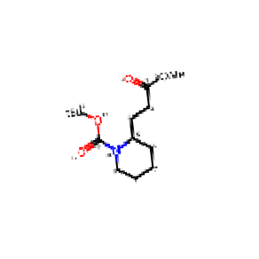 COC(=O)CCC1CCCCN1C(=O)OC(C)(C)C